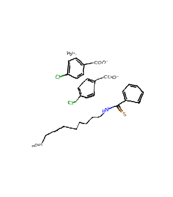 CCCCCCCCCCCCCCCCCCNC(=S)c1ccccc1.O=C([O-])c1ccc(Cl)cc1.O=C([O-])c1ccc(Cl)cc1.[Pb+2]